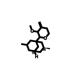 C=C1CCOC(C23CC(C)C[C@@H](C[C@@H](C)C2)C3)C1OC